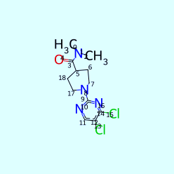 CN(C)C(=O)C1CCN(c2ncc(Cl)c(Cl)n2)CC1